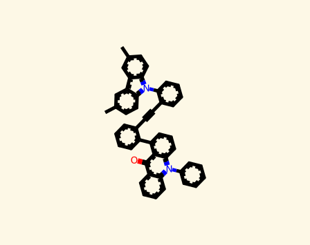 Cc1ccc2c(c1)c1cc(C)ccc1n2-c1ccccc1C#Cc1ccccc1-c1cccc2c1c(=O)c1ccccc1n2-c1ccccc1